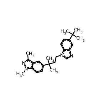 Cc1nn(C)c2ccc(C(C)(C)CCn3cnc4cc(C(C)(C)C)ccc43)cc12